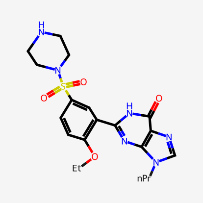 CCCn1cnc2c(=O)[nH]c(-c3cc(S(=O)(=O)N4CCNCC4)ccc3OCC)nc21